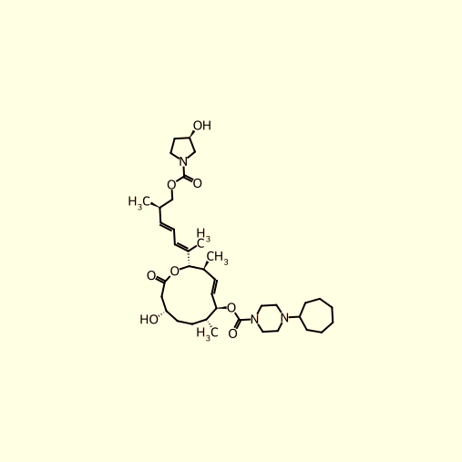 C/C(=C\C=C\[C@@H](C)COC(=O)N1CC[C@@H](O)C1)[C@H]1OC(=O)C[C@@H](O)CC[C@@H](C)[C@H](OC(=O)N2CCN(C3CCCCCC3)CC2)/C=C/[C@@H]1C